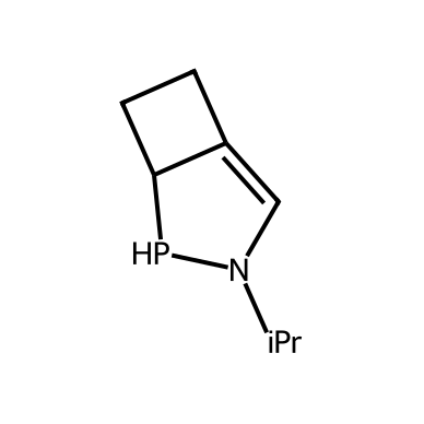 CC(C)N1C=C2CCC2P1